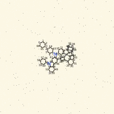 c1ccc(-c2ccc(N(c3ccc4c(c3)C3(c5ccccc5-4)c4ccccc4-c4cccc5ccc(C6CCCCC6)c3c45)c3ccc4c5ccccc5n(-c5ccccc5)c4c3)cc2)cc1